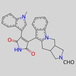 Cn1cc(C2=C(c3c4n(c5ccccc35)CC3CN(C=O)CC3C4)C(=O)NC2=O)c2ccccc21